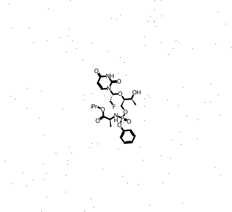 CC(C)OC(=O)[C@H](C)NP(=O)(OC[C@@H](O[C@H](CF)n1ccc(=O)[nH]c1=O)[C@H](C)O)Oc1ccccc1